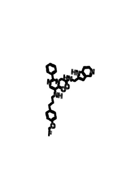 O=C(Cn1c(-c2ccccc2)ncc(NCCCc2ccc(OCF)cc2)c1=O)NCc1cc2cnccc2[nH]1